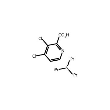 CC(C)N(C(C)C)C(C)C.O=C(O)c1nccc(Cl)c1Cl